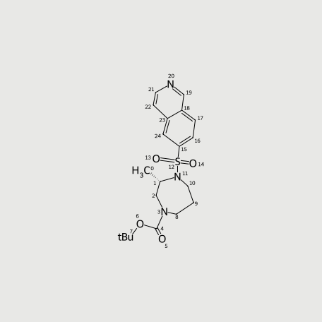 C[C@H]1CN(C(=O)OC(C)(C)C)CCCN1S(=O)(=O)c1ccc2cnccc2c1